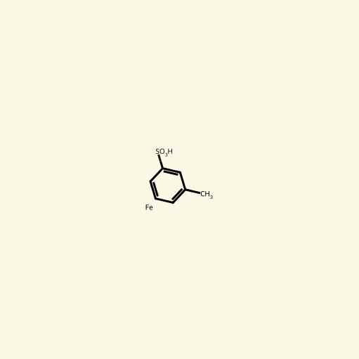 Cc1cccc(S(=O)(=O)O)c1.[Fe]